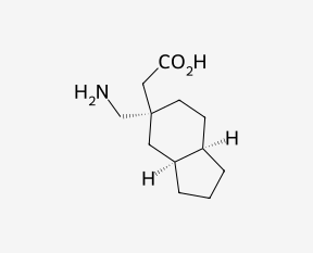 NC[C@]1(CC(=O)O)CC[C@H]2CCC[C@H]2C1